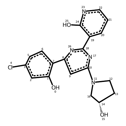 Oc1cc(Cl)ccc1-c1cc(N2CC[C@H](O)C2)nc(-c2cccnc2O)n1